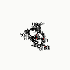 CN[C@H](CC(C)C)C(=O)N[C@H]1C(=O)C[C@@H](CC(N)=O)C(=O)N[C@H]2C(=O)C[C@H]3C(=O)N[C@H](C(=O)N[C@H](C(=O)CC4C5CC6CC(C5)CC4C6)c4cc(O)cc(O)c4-c4cc3ccc4O)[C@H](O)c3ccc(c(Cl)c3)Oc3cc2cc(c3OC2OC(CO)C(O)C(O)C2O)Oc2ccc(cc2Cl)[C@H]1O